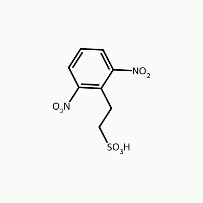 O=[N+]([O-])c1cccc([N+](=O)[O-])c1CCS(=O)(=O)O